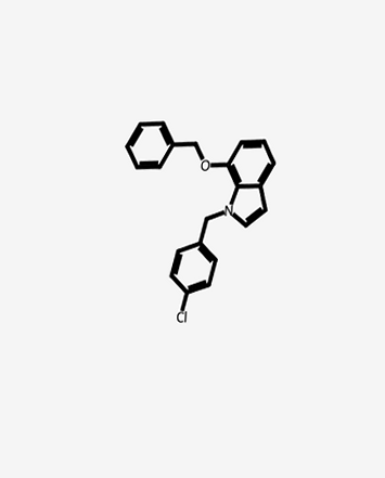 Clc1ccc(Cn2ccc3cccc(OCc4ccccc4)c32)cc1